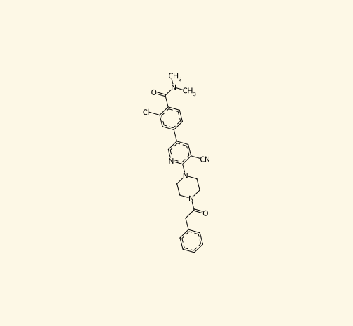 CN(C)C(=O)c1ccc(-c2cnc(N3CCN(C(=O)Cc4ccccc4)CC3)c(C#N)c2)cc1Cl